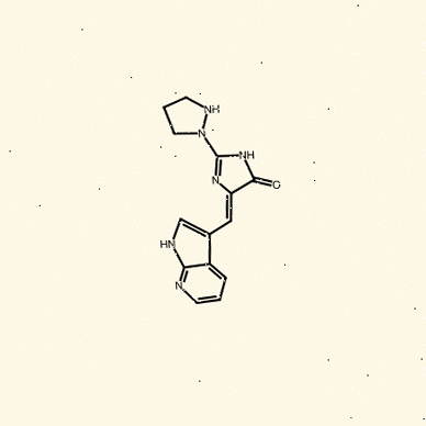 O=C1NC(N2CCCN2)=NC1=Cc1c[nH]c2ncccc12